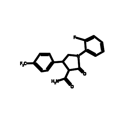 NC(=O)C1C(=O)N(c2ccccc2F)CC1c1ccc(C(F)(F)F)cc1